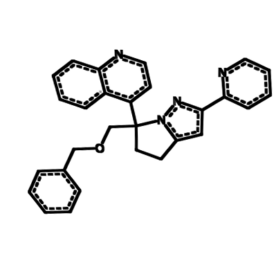 c1ccc(COCC2(c3ccnc4ccccc34)CCc3cc(-c4ccccn4)nn32)cc1